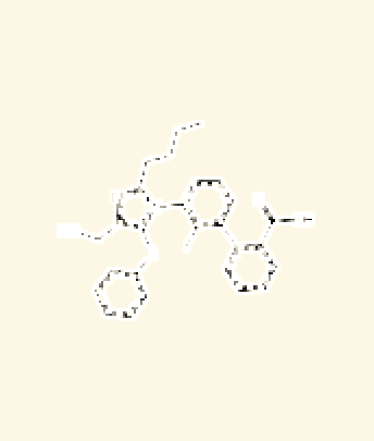 CCCCc1nc(CO)c(Sc2ccccc2)n1-c1cccc(-c2ccccc2C(=O)O)c1C